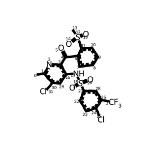 Cc1nc(C(=O)c2ccccc2S(C)(=O)=O)c(NS(=O)(=O)c2ccc(Cl)c(C(F)(F)F)c2)cc1Cl